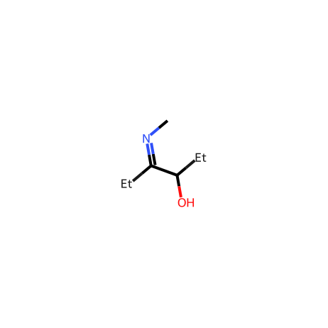 CCC(=NC)C(O)CC